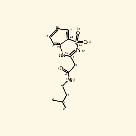 CC(C)CCNC(=O)CC1=NS(=O)(=O)c2ccccc2N1